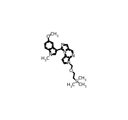 COc1ccc2c(c1)c(-c1ncc3cnc4c(ccn4COCC[Si](C)(C)C)n13)cn2C